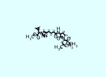 COC(=O)C(C1CC1)n1cc(CCCC(=O)N[C@@H]2CCN([C@@H](CC(C)C)C(=O)OC)C2=O)nn1